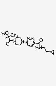 CC(O)(C(=O)N1CCN(c2ccc(C(=O)NCCC3CC3)nn2)CC1)C(F)(F)F